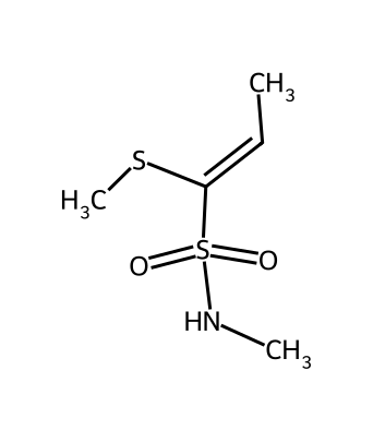 C/C=C(\SC)S(=O)(=O)NC